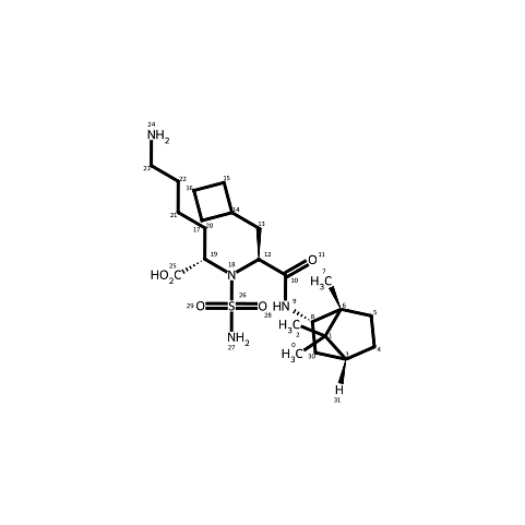 CC1(C)[C@@H]2CC[C@@]1(C)[C@@H](NC(=O)[C@H](CC1CCC1)N([C@@H](CCCCN)C(=O)O)S(N)(=O)=O)C2